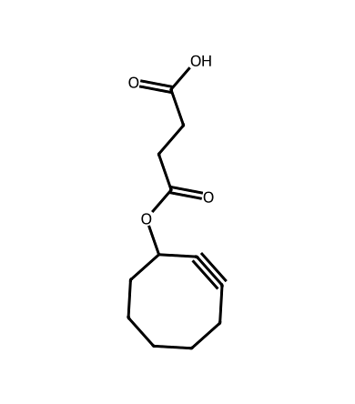 O=C(O)CCC(=O)OC1C#CCCCCC1